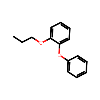 CCCOc1ccccc1Oc1ccccc1